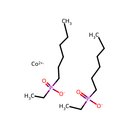 CCCCCCP(=O)([O-])CC.CCCCCCP(=O)([O-])CC.[Co+2]